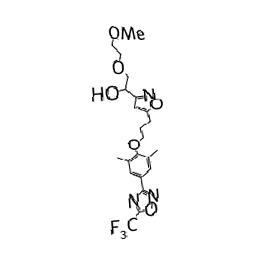 COCCOCC(O)c1cc(CCCOc2c(C)cc(-c3noc(C(F)(F)F)n3)cc2C)on1